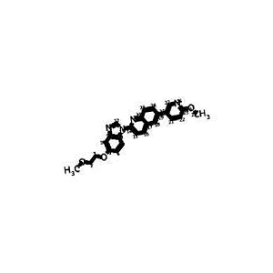 COCCOc1ccc2c(c1)ncn2-c1ccc2cc(-c3ccc(OC)nc3)ccc2n1